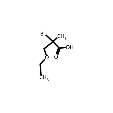 CCOCC(C)(Br)C(=O)O